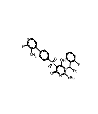 CCCCc1nc(=O)c(S(=O)(=O)c2ccc(-c3ccnc(F)c3C)cc2)c(O)n1C(CC)c1ccccc1F